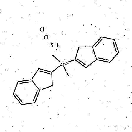 [CH3][Zr+2]([CH3])([C]1=Cc2ccccc2C1)[C]1=Cc2ccccc2C1.[Cl-].[Cl-].[SiH4]